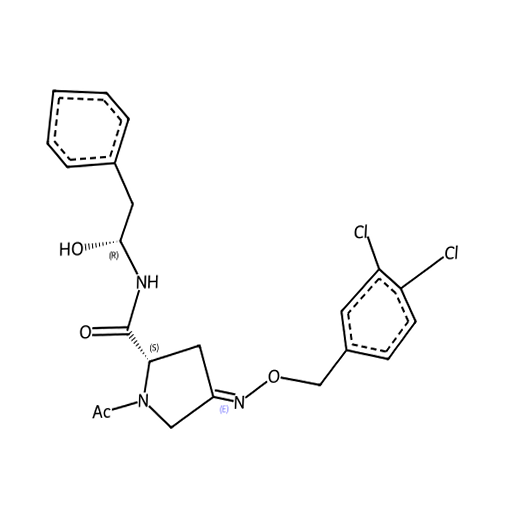 CC(=O)N1C/C(=N/OCc2ccc(Cl)c(Cl)c2)C[C@H]1C(=O)N[C@H](O)Cc1ccccc1